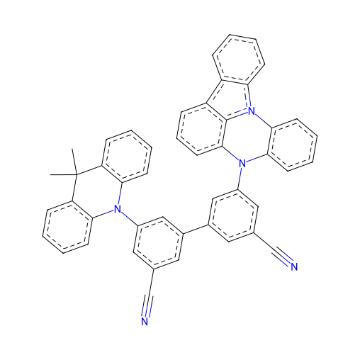 CC1(C)c2ccccc2N(c2cc(C#N)cc(-c3cc(C#N)cc(N4c5ccccc5-n5c6ccccc6c6cccc4c65)c3)c2)c2ccccc21